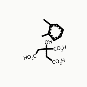 Cc1ccccc1C.O=C(O)CC(O)(CC(=O)O)C(=O)O